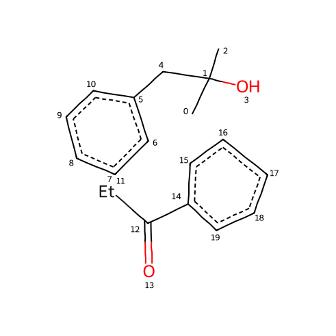 CC(C)(O)Cc1ccccc1.CCC(=O)c1ccccc1